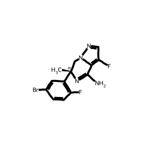 C[C@@]1(c2cc(Br)ccc2F)Cn2ncc(F)c2C(N)=N1